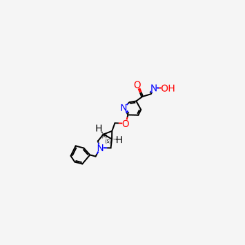 O=C(C=NO)c1ccc(OCC2[C@H]3CN(Cc4ccccc4)C[C@@H]23)nc1